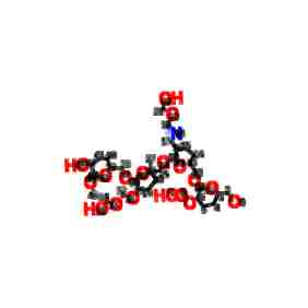 COCC1CCC(OOO)[C@@H](OCC2CCC(C/N=C/OCO)[C@@H](OCC3(C)CCC(OCOCO)[C@@H](OCC4CCC(O)[C@@H](OC)O4)O3)O2)O1